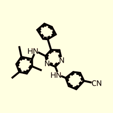 Cc1cc(C)c(Nc2nc(Nc3ccc(C#N)cc3)ncc2-c2ccccc2)c(C)c1